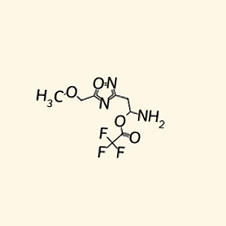 COCc1nc(CC(N)OC(=O)C(F)(F)F)no1